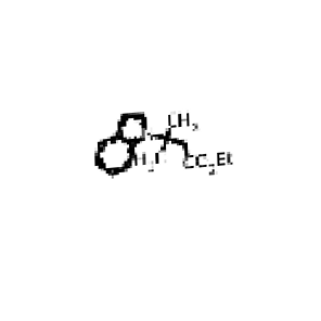 CCOC(=O)CC(C)(C)n1ccc2ccccc21